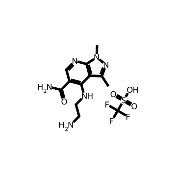 Cc1nn(C)c2ncc(C(N)=O)c(NCCN)c12.O=S(=O)(O)C(F)(F)F